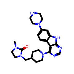 CN1CCN(CC2CCN(c3ncnc4[nH]c5cc(N6CCNCC6)ccc5c34)CC2)C1=O